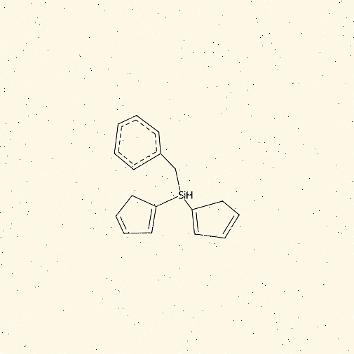 C1=CCC([SiH](Cc2ccccc2)C2=CC=CC2)=C1